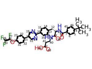 CC(C)(C)c1ccc(C(=O)N[C@@H](Cc2ccc(-c3ncc(-c4ccc(OC(F)=C(F)F)cc4)cn3)cc2)C(=O)NCCC(=O)O)cc1